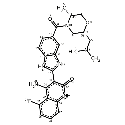 C[C@@H]1CO[C@H](CN(C)C)CN1C(=O)c1ccc2[nH]c(-c3c(N)c4c(F)cccc4[nH]c3=O)nc2c1